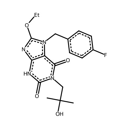 CCOc1nc2[nH]c(=O)n(CC(C)(C)O)c(=O)c2n1Cc1ccc(F)cc1